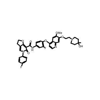 COc1cc2c(Oc3ccc(NC(=O)c4c5c(cn(-c6ccc(F)cc6)c4=O)CCO5)cc3F)ccnc2cc1OCCN1CCC(C)(O)CC1